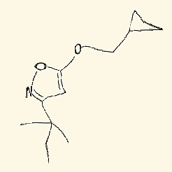 CC(C)(C)c1cc(OCC2CC2)on1